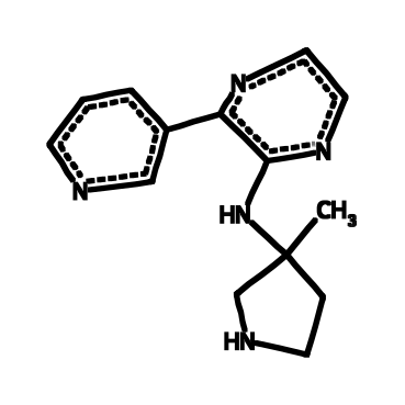 CC1(Nc2nccnc2-c2cccnc2)CCNC1